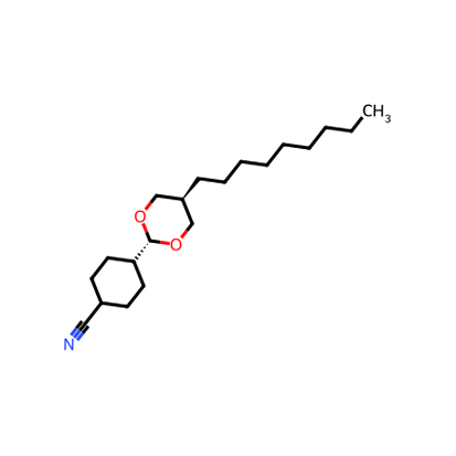 CCCCCCCCC[C@H]1CO[C@H](C2CCC(C#N)CC2)OC1